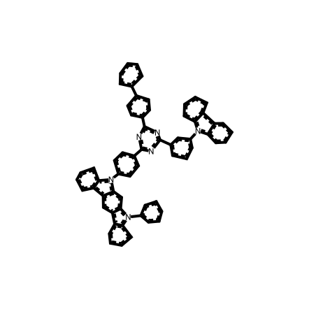 c1ccc(-c2ccc(-c3nc(-c4ccc(-n5c6ccccc6c6cc7c8ccccc8n(-c8ccccc8)c7cc65)cc4)nc(-c4cccc(-n5c6ccccc6c6ccccc65)c4)n3)cc2)cc1